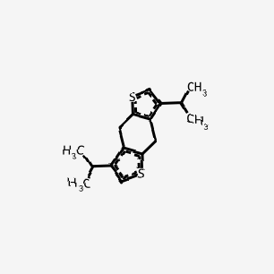 CC(C)c1csc2c1Cc1scc(C(C)C)c1C2